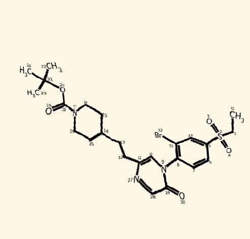 CCS(=O)(=O)c1ccc(-n2cc(CCC3CCN(C(=O)OC(C)(C)C)CC3)ncc2=O)c(Br)c1